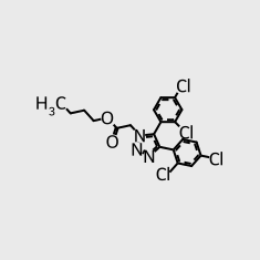 CCCCOC(=O)Cn1nnc(-c2ccc(Cl)cc2Cl)c1-c1ccc(Cl)cc1Cl